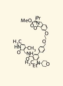 CCN(c1cc(-c2ccc(COCCOc3ccc4c(c3)C(=O)N([C@H](C(=O)OC)C(C)C)C4)cc2)cc(C(=O)NCc2c(C)cc(C)[nH]c2=O)c1C)C1CCOCC1